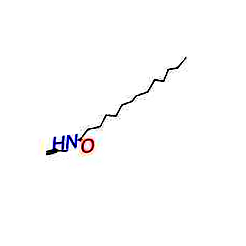 C#CCNC(=O)CCCCCCCCCCCCC